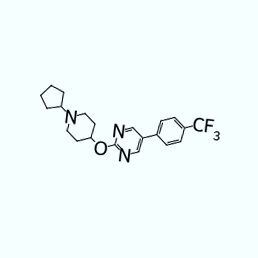 FC(F)(F)c1ccc(-c2cnc(OC3CCN(C4CCCC4)CC3)nc2)cc1